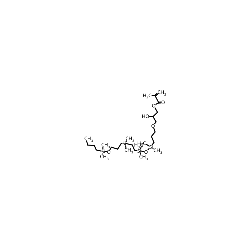 C=C(C)C(=O)OCC(O)COCCC[Si](C)(C)O[Si](C)(C)CC[Si](C)(C)CCCO[Si](C)(C)CCCC